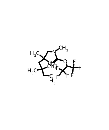 CCC(C)(C)CC(C)(C)CN(C)C(=O)OC(C(F)(F)F)C(F)(F)F